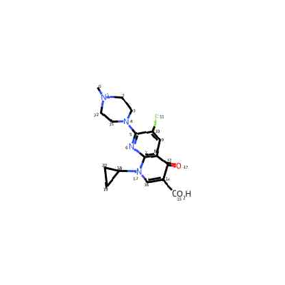 CN1CCN(c2nc3c(cc2F)c(=O)c(C(=O)O)cn3C2CC2)CC1